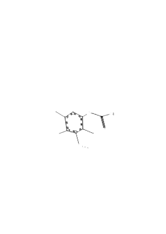 COc1c(F)c(F)cc(NC(N)=O)c1F